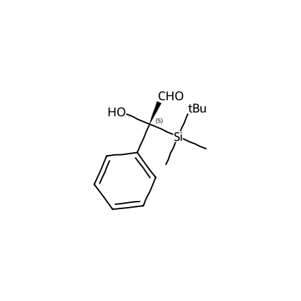 CC(C)(C)[Si](C)(C)[C@](O)(C=O)c1ccccc1